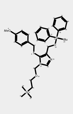 COc1ccc(CSc2c(CO[Si](c3ccccc3)(c3ccccc3)C(C)(C)C)ncn2COCC[Si](C)(C)C)cc1